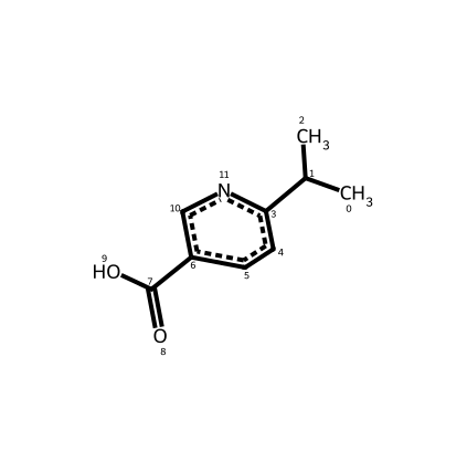 CC(C)c1ccc(C(=O)O)cn1